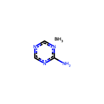 Nc1ncncn1.[BiH3]